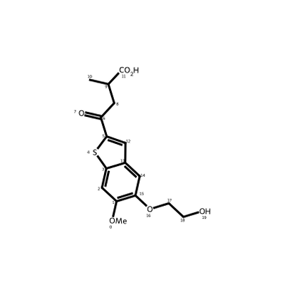 COc1cc2sc(C(=O)CC(C)C(=O)O)cc2cc1OCCO